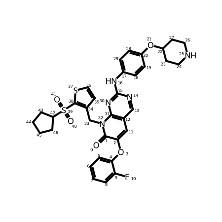 O=c1c(Oc2ccccc2F)cc2cnc(Nc3ccc(OC4CCNCC4)cc3)nc2n1Cc1ccsc1S(=O)(=O)C1CCCC1